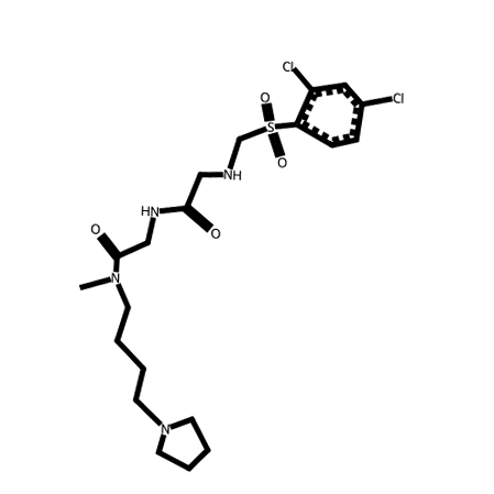 CN(CCCCN1CCCC1)C(=O)CNC(=O)CNCS(=O)(=O)c1ccc(Cl)cc1Cl